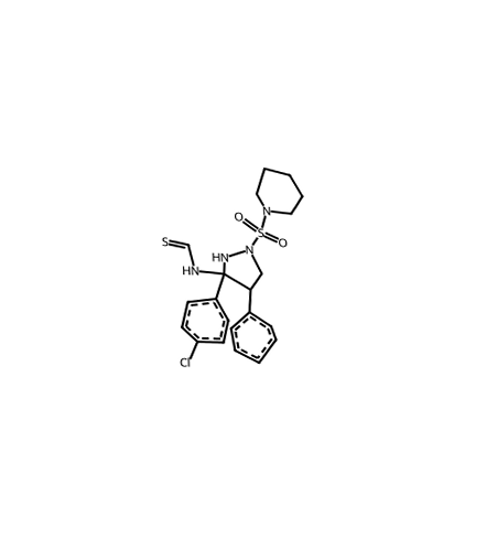 O=S(=O)(N1CCCCC1)N1CC(c2ccccc2)C(NC=S)(c2ccc(Cl)cc2)N1